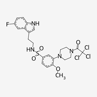 COc1ccc(S(=O)(=O)NCCc2c[nH]c3ccc(F)cc23)cc1N1CCN(C(=O)C(Cl)(Cl)Cl)CC1